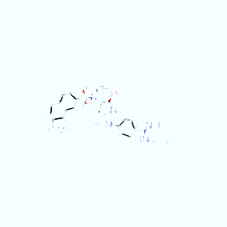 CCOC(=O)NC(=N)c1ccc(N)c(CN2CC[C@H](N(C)S(=O)(=O)c3ccc4ccc(OC)cc4c3)C2=O)c1